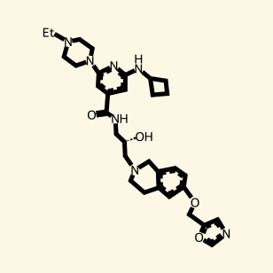 CCN1CCN(c2cc(C(=O)NC[C@H](O)CN3CCc4cc(OCc5cnco5)ccc4C3)cc(NC3CCC3)n2)CC1